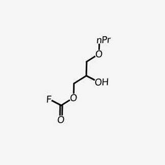 CCCOCC(O)COC(=O)F